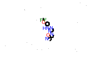 CCC1(C#N)CCN(c2ccnc(Nc3cccc(OC(C)(F)F)c3)n2)C1=O